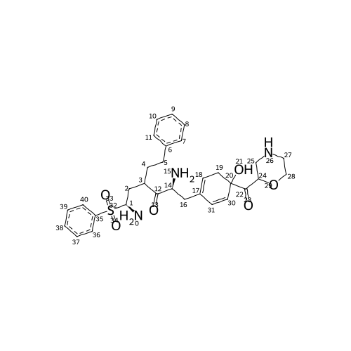 N[C@H](CC(CCc1ccccc1)C(=O)[C@@H](N)CC1=CCC(O)(C(=O)C2CNCCO2)C=C1)S(=O)(=O)c1ccccc1